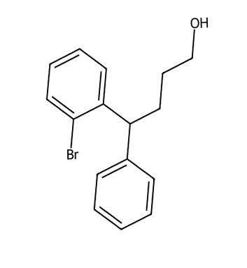 OCCCC(c1ccccc1)c1ccccc1Br